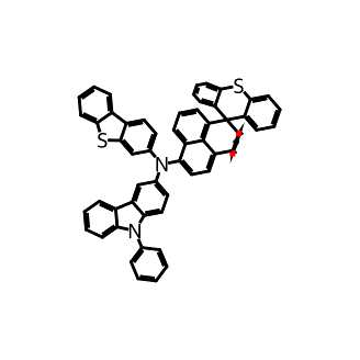 c1ccc(-n2c3ccccc3c3cc(N(c4ccc5c(c4)sc4ccccc45)c4ccc5c6c(cccc46)C4(c6ccccc6Sc6ccccc64)c4ccccc4-5)ccc32)cc1